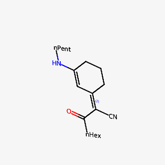 CCCCCCC(=O)/C(C#N)=C1\C=C(NCCCCC)CCC1